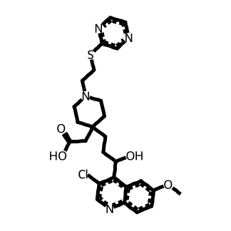 COc1ccc2ncc(Cl)c(C(O)CCC3(CC(=O)O)CCN(CCSc4cnccn4)CC3)c2c1